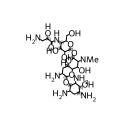 CNC1C(O[C@H]2OC(CO)[C@@H](NC(=O)[C@@H](O)CN)[C@H](O)C2O)O[C@H]2CC(N)[C@@H](O[C@@H]3C(N)C[C@@H](N)[C@@H](O)C3N)OC2C1O